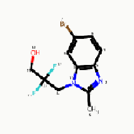 Cc1nc2ccc(Br)cc2n1CC(F)(F)CO